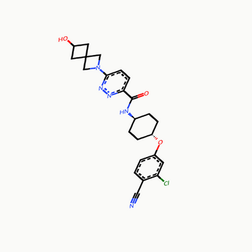 N#Cc1ccc(O[C@H]2CC[C@H](NC(=O)c3ccc(N4CC5(CC(O)C5)C4)nn3)CC2)cc1Cl